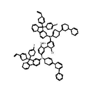 C=CC1=CCC(C2(C3CC=C(F)CC3)C3=C(C=CCC3)c3ccc(N(C4=CC(C5C=C(N(C6=CCC(C7=CCCC(C8C=CC=CC8)C7)CC6)C6C=CC7=C(C6)C(C6=CCC(C=C)C=C6)(C6C=CC(F)=CC6)C6C=CC=CC76)C=CC5CC)C(SC)C=C4)C4C=CC(C5C=CC=C(c6ccccc6)C5)=CC4)cc32)C=C1